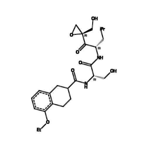 CCOc1cccc2c1CCC(C(=O)N[C@@H](CO)C(=O)N[C@@H](CC(C)C)C(=O)[C@@]1(CO)CO1)C2